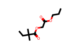 CCCOC(=O)COC(=O)C(C)(C)CC